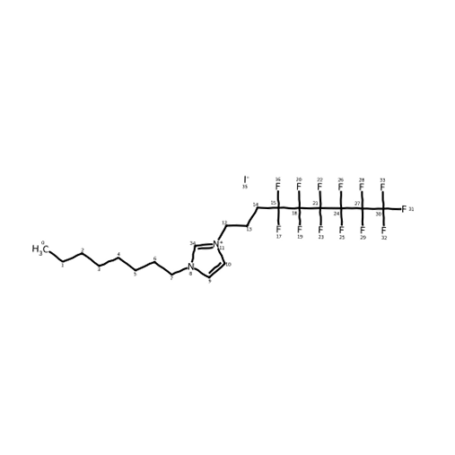 CCCCCCCCn1cc[n+](CCCC(F)(F)C(F)(F)C(F)(F)C(F)(F)C(F)(F)C(F)(F)F)c1.[I-]